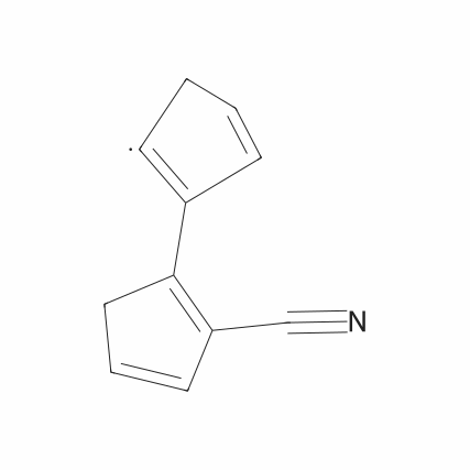 N#CC1=C(C2=[C]CC=C2)CC=C1